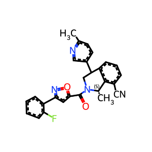 Cc1ccc(C2CN(C(=O)c3cc(-c4ccccc4F)no3)[C@@H](C)c3c(C#N)cccc32)cn1